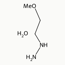 COCCNN.O